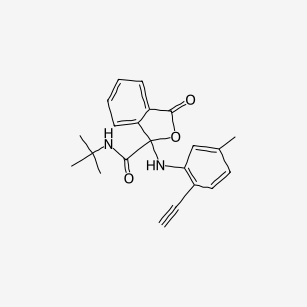 C#Cc1ccc(C)cc1NC1(C(=O)NC(C)(C)C)OC(=O)c2ccccc21